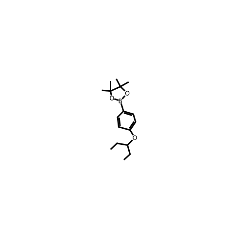 CCC(CC)Oc1ccc(B2OC(C)(C)C(C)(C)O2)cc1